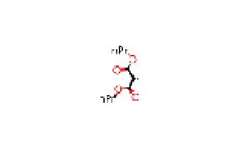 CCCOC(=O)[CH]C(=O)OCCC